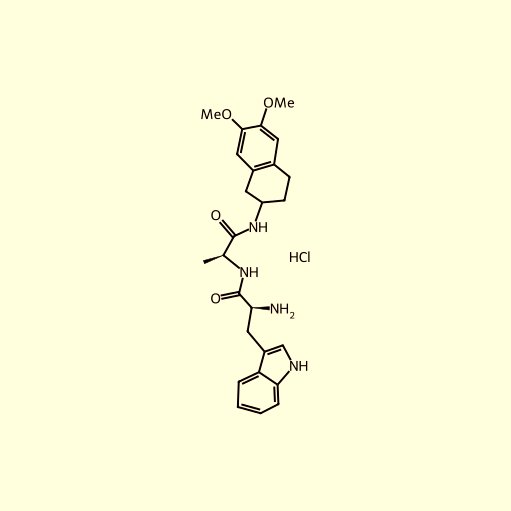 COc1cc2c(cc1OC)CC(NC(=O)[C@H](C)NC(=O)[C@@H](N)Cc1c[nH]c3ccccc13)CC2.Cl